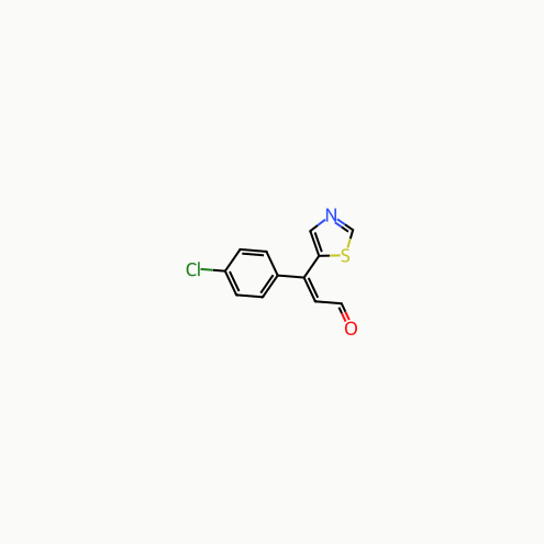 O=CC=C(c1ccc(Cl)cc1)c1cncs1